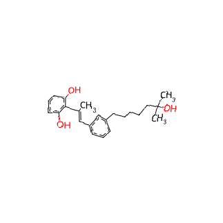 CC(=Cc1cccc(CCCCCC(C)(C)O)c1)c1c(O)cccc1O